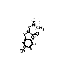 CN(C)C=C1Cc2cc(Cl)ccc2C1=O